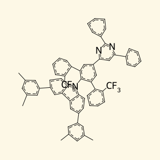 Cc1cc(C)cc(-c2ccc3c(c2)c2cc(-c4cc(C)cc(C)c4)ccc2n3-c2c(-c3ccccc3C(F)(F)F)cc(-c3cc(-c4ccccc4)nc(-c4ccccc4)n3)cc2-c2ccccc2C(F)(F)F)c1